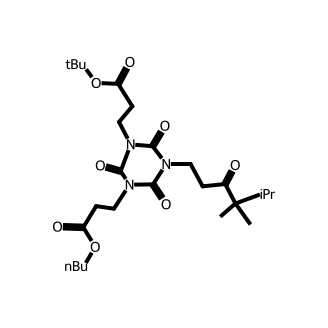 CCCCOC(=O)CCn1c(=O)n(CCC(=O)OC(C)(C)C)c(=O)n(CCC(=O)C(C)(C)C(C)C)c1=O